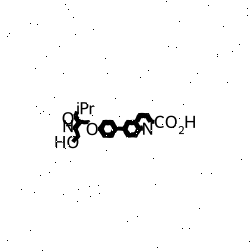 CC(C)c1onc(CO)c1COc1ccc(-c2ccc3nc(C(=O)O)ccc3c2)cc1